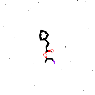 CC(CI)OC(=O)C=Cc1ccccc1